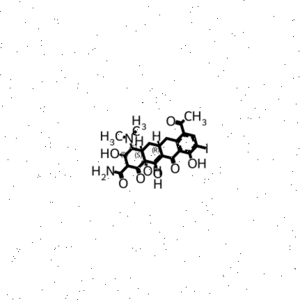 CC(=O)c1cc(I)c(O)c2c1C[C@H]1C[C@H]3[C@H](N(C)C)[C@H](O)C(C(N)=O)C(=O)[C@@]3(O)C(O)=C1C2=O